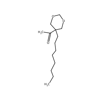 CCCCCCCCC1(C(C)=O)COCOC1